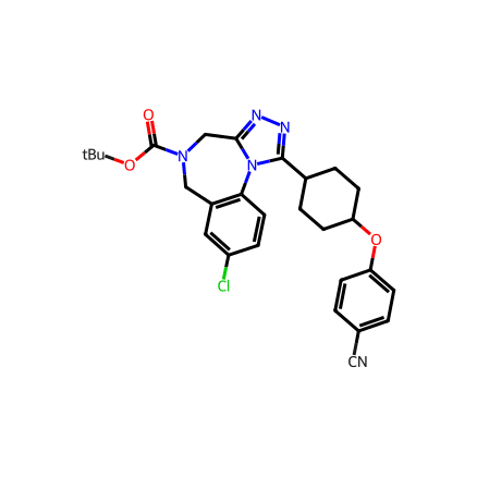 CC(C)(C)OC(=O)N1Cc2cc(Cl)ccc2-n2c(nnc2C2CCC(Oc3ccc(C#N)cc3)CC2)C1